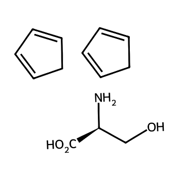 C1=CCC=C1.C1=CCC=C1.N[C@@H](CO)C(=O)O